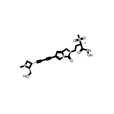 CN1C[C@H](C#CC#Cc2cc3n(c2)C(=O)N(CC[C@](C)(C(=O)NO)S(C)(=O)=O)C3)[C@H]1CO